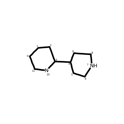 C1CCC(C2CCNCC2)[N]C1